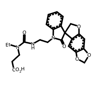 CCN(CCC(=O)O)C(=O)NCCN1C(=O)C2(COc3cc4c(cc32)OCO4)c2ccccc21